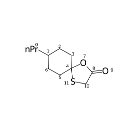 CCCC1CCC2(CC1)OC(=O)CS2